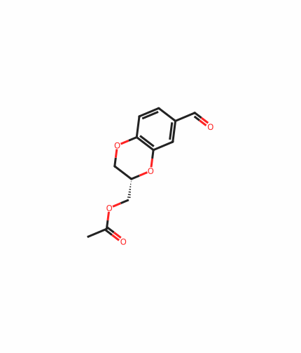 CC(=O)OC[C@@H]1COc2ccc(C=O)cc2O1